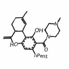 C=C(C)C1CCC(C)=CC1c1c(O)cc(CCCCC)c(C(=O)N2CCN(C)CC2)c1O